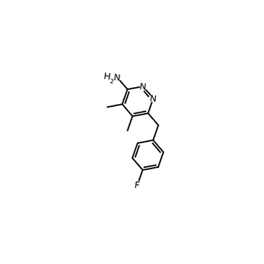 Cc1c(N)nnc(Cc2ccc(F)cc2)c1C